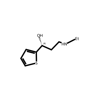 CCNCC[C@@H](O)c1cccs1